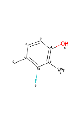 Cc1ccc(O)c(C(C)C)c1F